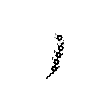 CCCCCc1ccc(-c2ccc(-c3cc(F)c(-c4ccc(C(F)(F)Oc5ccc(F)c(F)c5)c(F)c4)c(F)c3)c(F)c2)c(F)c1